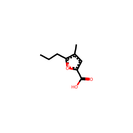 CCCc1oc(C(=O)O)cc1C